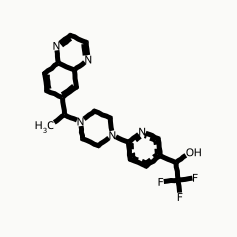 CC(C1=CC2N=CC=NC2C=C1)N1CCN(c2ccc(C(O)C(F)(F)F)cn2)CC1